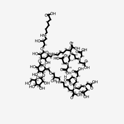 O=C(O)CCCCCNCC(O)COCC(O)C(OC1OC(COCC(O)CNCCCCC(C(=O)O)N(CCN(CC(=O)O)CC(=O)O)CCN(CC(=O)O)CC(=O)O)C(OC2OC(CO)C(O)C(O)C2O)C(O)C1O)C(O)C(O)CNCCCCC(C(=O)O)N(CCN(CC(=O)O)CC(=O)O)CCN(CC(=O)O)CC(=O)O